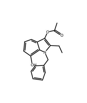 CCc1c(OC(C)=O)c2cccc(O)c2n1Cc1ccccc1